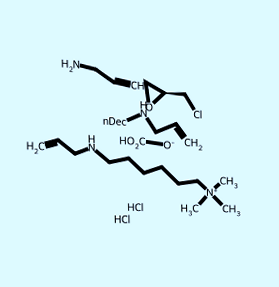 C=CCN.C=CCNCCCCCCCCCC.C=CCNCCCCCC[N+](C)(C)C.Cl.Cl.ClC[C@@H]1CO1.O=C([O-])O